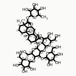 C=C1C[C@@]23CC[C@@H]4C(C)(C(=O)OC5OC(C)C(O)C(O)C5O)CCC[C@@]4(C)[C@@H]2CC[C@]1(OC1OC(CO)C(OC2OC(CO)C(O)C(O)C2O)C(OC2=C(O)C(O)C(O)C(CO)O2)C1OC1OC(CO)C(O)C(O)C1O)C3